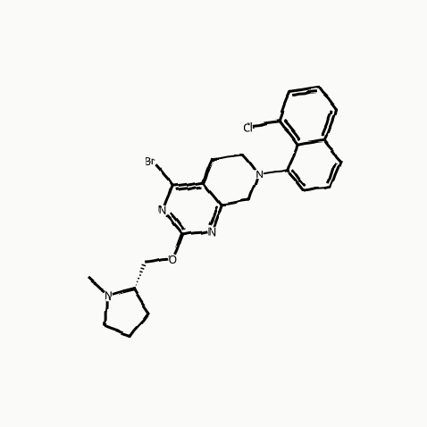 CN1CCC[C@H]1COc1nc(Br)c2c(n1)CN(c1cccc3cccc(Cl)c13)CC2